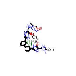 COc1nc(-c2cccc(-c3cccc(-c4cnc(C5=NC[C@H](C)N5)c(OC)n4)c3Cl)c2Cl)cnc1C1=NC[C@H](CO)N1